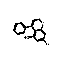 Oc1cc(O)c2c(c1)OCC=C2c1ccccc1